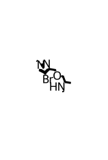 CNC(C)COCc1nn(C)cc1Br